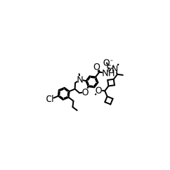 CCCc1cc(Cl)ccc1C1COc2ccc(C(=O)N[S+]([O-])N(C)C(C)C3CC(C(OC)C4CCC4)C3)cc2N(C)C1